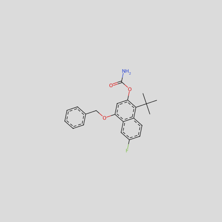 CC(C)(C)c1c(OC(N)=O)cc(OCc2ccccc2)c2cc(F)ccc12